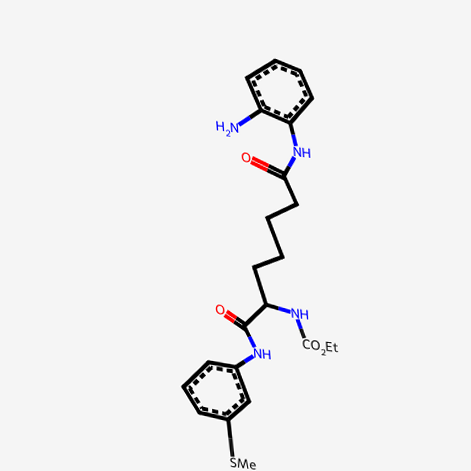 CCOC(=O)NC(CCCCC(=O)Nc1ccccc1N)C(=O)Nc1cccc(SC)c1